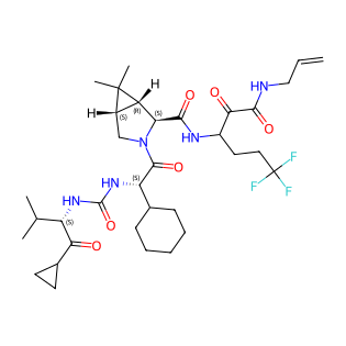 C=CCNC(=O)C(=O)C(CCC(F)(F)F)NC(=O)[C@@H]1[C@@H]2[C@H](CN1C(=O)[C@@H](NC(=O)N[C@H](C(=O)C1CC1)C(C)C)C1CCCCC1)C2(C)C